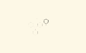 C1CCC(P(C2CCCCC2)C2CCCCC2)CC1.O=C(O)c1cc(C(=O)O)cc(S(=O)(=O)O)c1